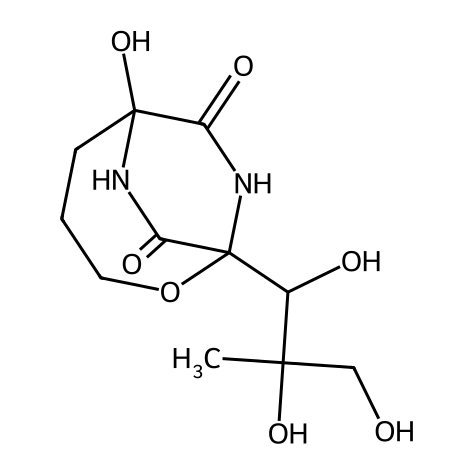 CC(O)(CO)C(O)C12NC(=O)C(O)(CCCO1)NC2=O